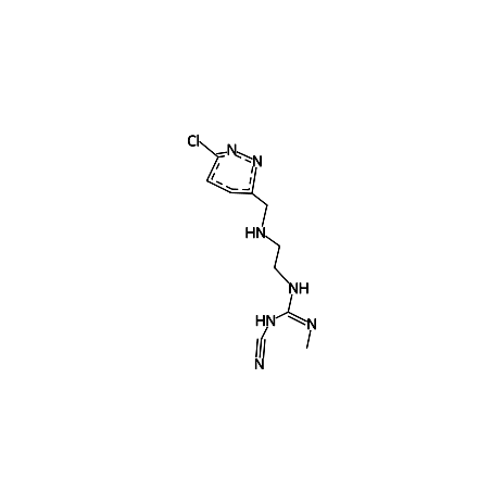 C/N=C(\NC#N)NCCNCc1ccc(Cl)nn1